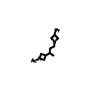 CC(=O)N1CC(C(C)CCN2CC(C(C)C)C2)C1